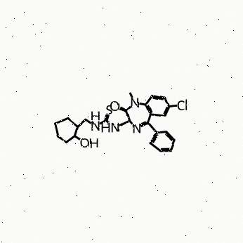 CN1C(=O)C(NC(=S)NCC2CCCCC2O)N=C(c2ccccc2)c2cc(Cl)ccc21